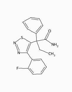 CCC(C(N)=O)(c1ccccc1)c1snnc1-c1ccccc1F